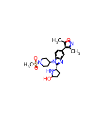 Cc1noc(C)c1-c1ccc2c(c1)nc([C@@H]1CCC(O)N1)n2C1CCN(S(C)(=O)=O)CC1